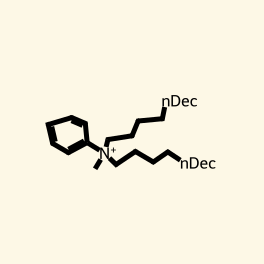 CCCCCCCCCCCCCC[N+](C)(CCCCCCCCCCCCCC)c1ccccc1